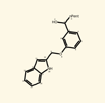 CCCCCC(O)c1cccc(OCc2cc3ccccc3[nH]2)c1